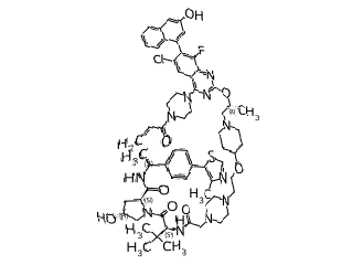 C=CC(=O)N1CCN(c2nc(O[C@H](C)CN3CCC(OCCN4CCN(CC(=O)N[C@H](C(=O)N5C[C@H](O)C[C@H]5C(=O)N[C@@H](C)c5ccc(-c6scnc6C)cc5)C(C)(C)C)CC4)CC3)nc3c(F)c(-c4cc(O)cc5ccccc45)c(Cl)cc23)CC1